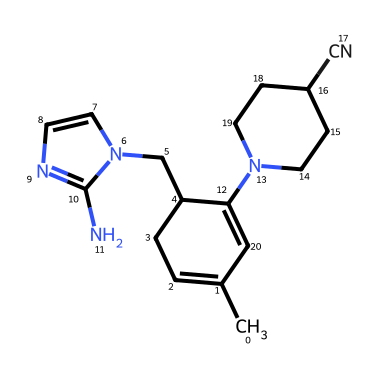 CC1=CCC(Cn2ccnc2N)C(N2CCC(C#N)CC2)=C1